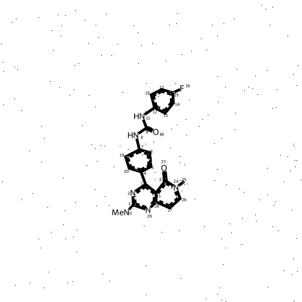 CNc1nc(-c2ccc(NC(=O)Nc3ccc(F)cc3)cc2)c2c(=O)n(C)ccc2n1